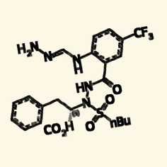 CCCCS(=O)(=O)N(NC(=O)c1cc(C(F)(F)F)ccc1NC=NN)[C@@H](Cc1ccccc1)C(=O)O